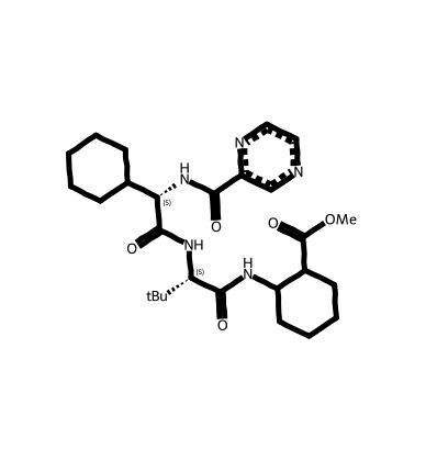 COC(=O)C1CCCCC1NC(=O)[C@@H](NC(=O)[C@@H](NC(=O)c1cnccn1)C1CCCCC1)C(C)(C)C